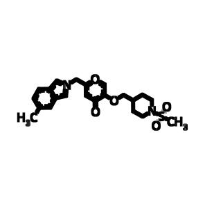 Cc1ccc2cn(Cc3cc(=O)c(OCC4CCN(S(C)(=O)=O)CC4)co3)cc2c1